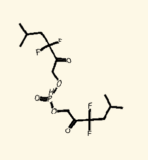 CC(C)CC(F)(F)C(=O)CO[PH](=O)OCC(=O)C(F)(F)CC(C)C